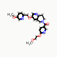 COCCOc1ccc(C(=O)N2CCc3ncc(OCc4ccc(OC)cn4)cc3C2)cn1